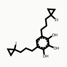 CCC1(CCCc2cc(CCCC3(I)CC3)c(O)c(O)c2O)CC1